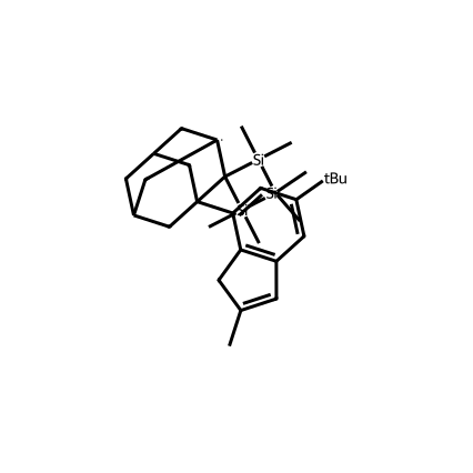 CC1=Cc2cc(C(C)(C)C)cc(C34CC5C[C](CC(C5)C3)C43[Si](C)(C)[Si](C)(C)[Si]3(C)C)c2C1